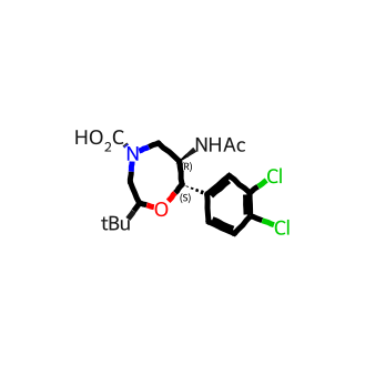 CC(=O)N[C@@H]1CN(C(=O)O)CC(C(C)(C)C)O[C@H]1c1ccc(Cl)c(Cl)c1